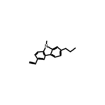 C=Cc1ccc2c(c1)c1ccc(CCC)cc1n2C